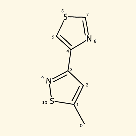 Cc1cc(-c2cscn2)ns1